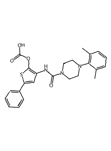 Cc1cccc(C)c1N1CCN(C(=O)Nc2cc(-c3ccccc3)sc2OC(=O)O)CC1